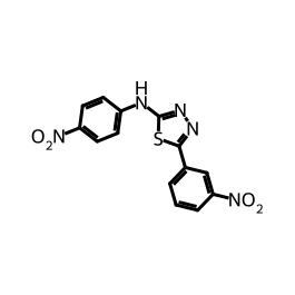 O=[N+]([O-])c1ccc(Nc2nnc(-c3cccc([N+](=O)[O-])c3)s2)cc1